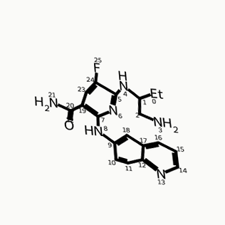 CCC(CN)Nc1nc(Nc2ccc3ncccc3c2)c(C(N)=O)cc1F